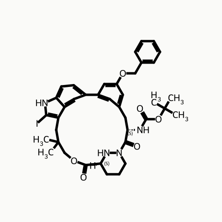 CC1(C)COC(=O)[C@@H]2CCCN(N2)C(=O)[C@@H](NC(=O)OC(C)(C)C)Cc2cc(OCc3ccccc3)cc(c2)-c2ccc3[nH]c(I)c(c3c2)C1